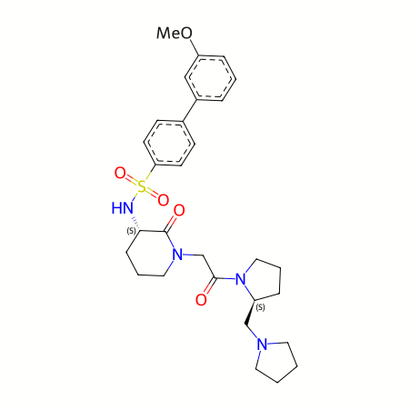 COc1cccc(-c2ccc(S(=O)(=O)N[C@H]3CCCN(CC(=O)N4CCC[C@H]4CN4CCCC4)C3=O)cc2)c1